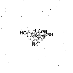 CC(C)(C)C1C(n2nc(-c3ccc(O)cc3)c3cnccc32)CCN1C(=O)O